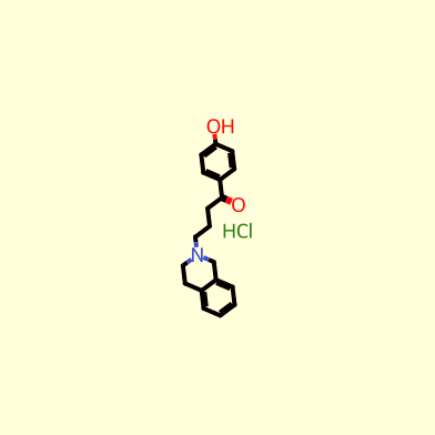 Cl.O=C(CCCN1CCc2ccccc2C1)c1ccc(O)cc1